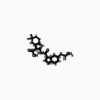 CC1(C)CCc2sc(NC(=O)c3csc4ccc(CNN)cc34)c(C(=O)O)c2C1